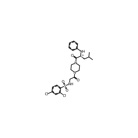 CC(C)C[C@H](Nc1ccccc1)C(=O)N1CCN(C(=O)CNS(=O)(=O)c2ccc(Cl)cc2Cl)CC1